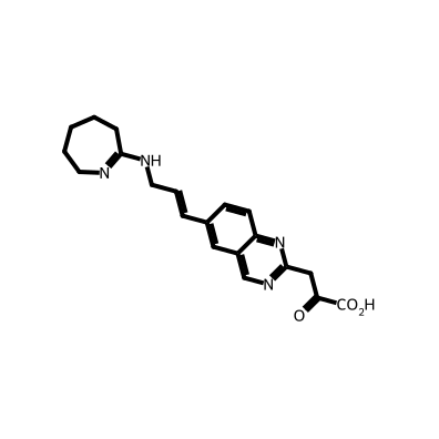 O=C(O)C(=O)Cc1ncc2cc(C=CCNC3=NCCCCC3)ccc2n1